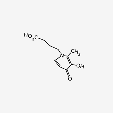 Cc1c(O)c(=O)ccn1CCCC(=O)O